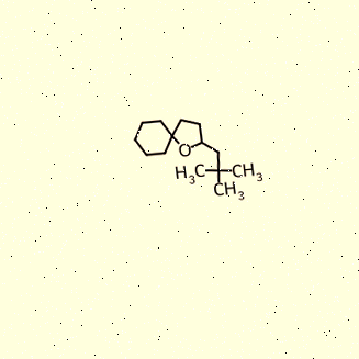 CC(C)(C)CC1CCC2(CCCCC2)O1